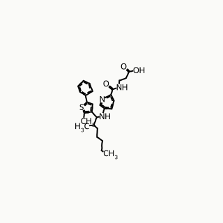 CCCCCC(C)C(Nc1ccc(C(=O)NCCC(=O)O)nc1)c1cc(-c2ccccc2)sc1C